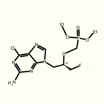 CCOP(=O)(CO[C@@H](CF)Cn1cnc2c(Cl)nc(N)nc21)OCC